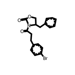 O=C(CCc1ccc(Br)cc1)N1C(=O)OCC1Cc1ccccc1